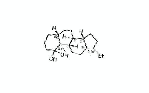 CC[C@H]1CC[C@H]2[C@@H]3CC[C@H]4CCCC(O)(O)[C@]4(C)[C@H]3CC[C@]12C